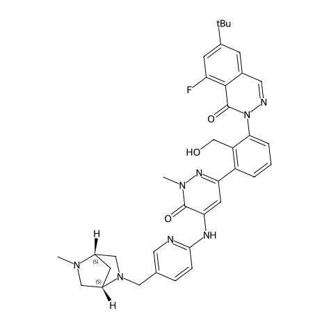 CN1C[C@@H]2C[C@H]1CN2Cc1ccc(Nc2cc(-c3cccc(-n4ncc5cc(C(C)(C)C)cc(F)c5c4=O)c3CO)nn(C)c2=O)nc1